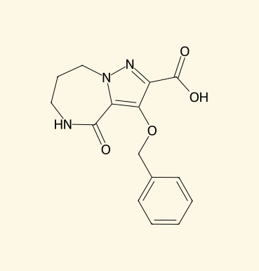 O=C(O)c1nn2c(c1OCc1ccccc1)C(=O)NCCC2